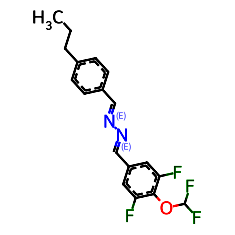 CCCc1ccc(/C=N/N=C/c2cc(F)c(OC(F)F)c(F)c2)cc1